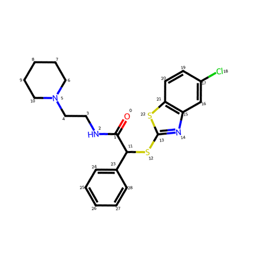 O=C(NCCN1CCCCC1)C(Sc1nc2cc(Cl)ccc2s1)c1ccccc1